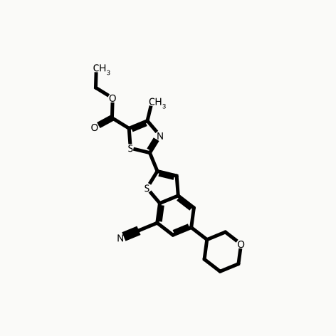 CCOC(=O)c1sc(-c2cc3cc(C4CCCOC4)cc(C#N)c3s2)nc1C